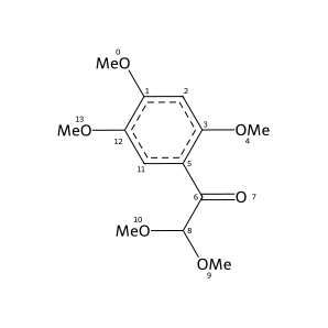 COc1cc(OC)c(C(=O)C(OC)OC)cc1OC